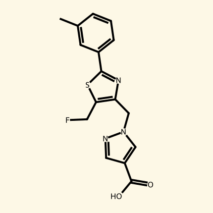 Cc1cccc(-c2nc(Cn3cc(C(=O)O)cn3)c(CF)s2)c1